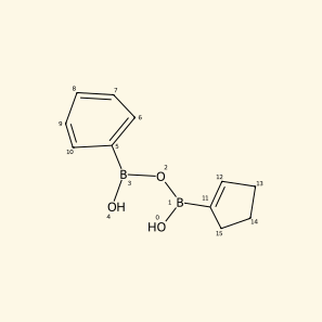 OB(OB(O)c1ccccc1)C1=CCCC1